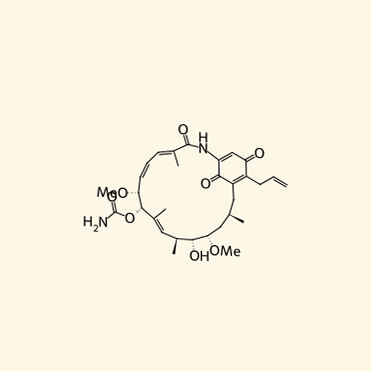 C=CCC1=C2C[C@@H](C)C[C@H](OC)[C@H](O)[C@@H](C)/C=C(\C)[C@H](OC(N)=O)[C@H](OC)/C=C\C=C(/C)C(=O)NC(=CC1=O)C2=O